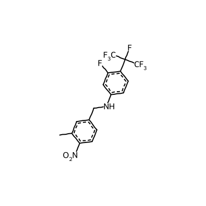 Cc1cc(CNc2ccc(C(F)(C(F)(F)F)C(F)(F)F)c(F)c2)ccc1[N+](=O)[O-]